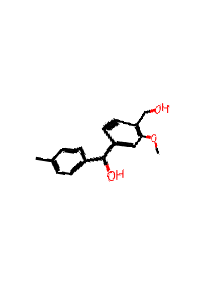 COc1cc(C(O)c2ccc(C)cc2)ccc1CO